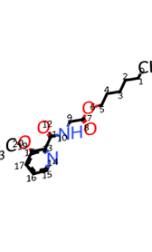 CCCCCCOC(=O)CNC(=O)c1ncccc1OC